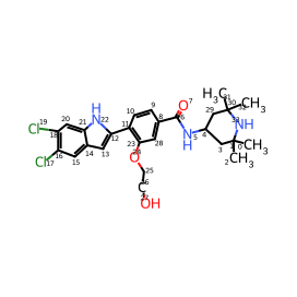 CC1(C)CC(NC(=O)c2ccc(-c3cc4cc(Cl)c(Cl)cc4[nH]3)c(OCCO)c2)CC(C)(C)N1